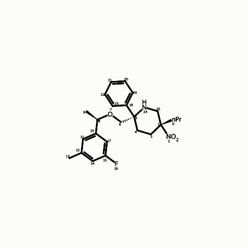 CCC[C@@]1([N+](=O)[O-])CC[C@@](CO[C@H](C)c2cc(C)cc(F)c2)(c2ccccc2)NC1